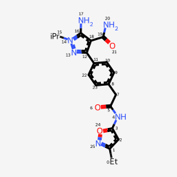 CCc1cc(NC(=O)Cc2ccc(-c3nn(C(C)C)c(N)c3C(N)=O)cc2)on1